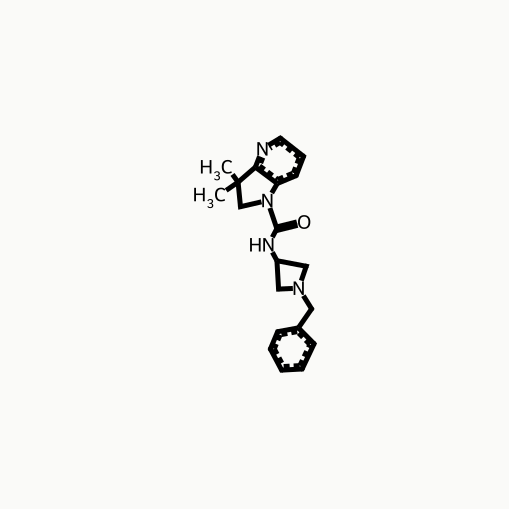 CC1(C)CN(C(=O)NC2CN(Cc3ccccc3)C2)c2cccnc21